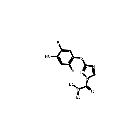 CCN(CC)C(=O)n1cnc(Sc2cc(F)c(C#N)cc2F)n1